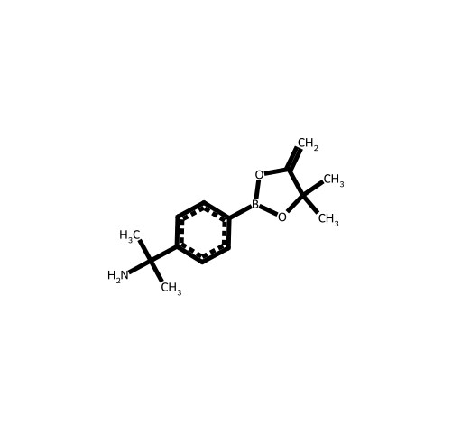 C=C1OB(c2ccc(C(C)(C)N)cc2)OC1(C)C